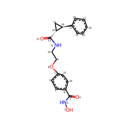 O=C(NO)c1ccc(OCCNC(=O)[C@@H]2C[C@H]2c2ccccc2)cc1